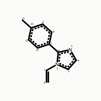 C=Cn1ccnc1-c1ccc(C)cc1